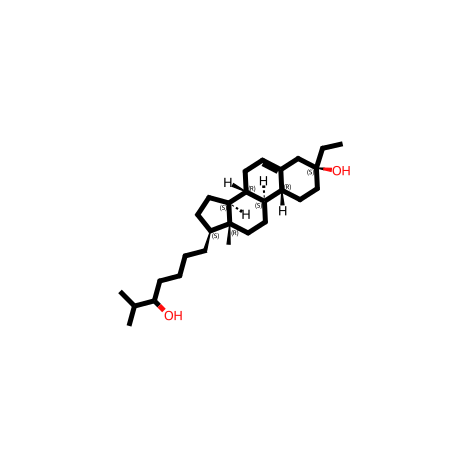 CC[C@]1(O)CC[C@H]2C(=CC[C@@H]3[C@@H]2CC[C@]2(C)[C@@H](CCCCC(O)C(C)C)CC[C@@H]32)C1